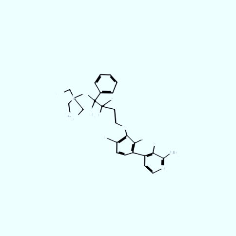 CC[Si](CC)(CC)OC(C)(c1ccccc1)C(F)(F)CCOc1c(F)ccc(-c2ccnc(N)c2F)c1F